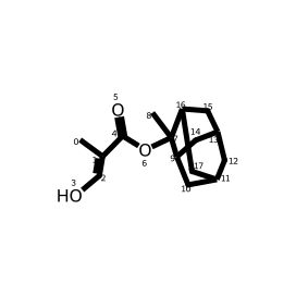 CC(=CO)C(=O)OC1(C)C2CC3CC(C2)CC1C3